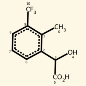 Cc1c(C(O)C(=O)O)cccc1C(F)(F)F